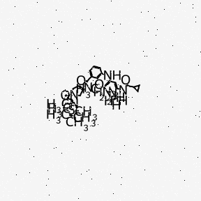 [2H]C([2H])([2H])N1NC=C(Nc2cccc(-c3nc4c(o3)CN([S@@](C)(=O)=N[Si](C)(C)C(C)(C)C)C4)c2OC)C=C1NC(=O)C1CC1